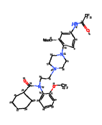 COc1cc(NC(=O)C(F)(F)F)ccc1N1CCN(CCN(C(=O)C2CCCCC2)c2ccccc2OC(F)(F)F)CC1